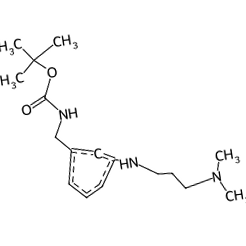 CN(C)CCCNc1cccc(CNC(=O)OC(C)(C)C)c1